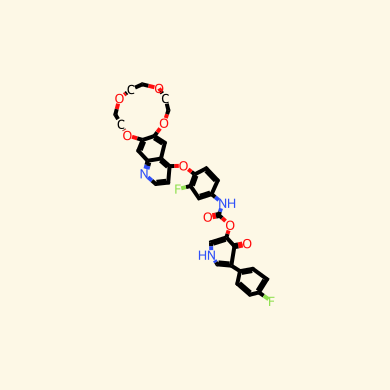 O=C(Nc1ccc(Oc2ccnc3cc4c(cc23)OCCOCCOCCO4)c(F)c1)Oc1c[nH]cc(-c2ccc(F)cc2)c1=O